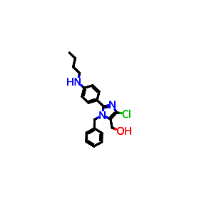 CCCCNc1ccc(-c2nc(Cl)c(CO)n2Cc2ccccc2)cc1